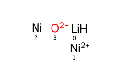 [LiH].[Ni+2].[Ni].[O-2]